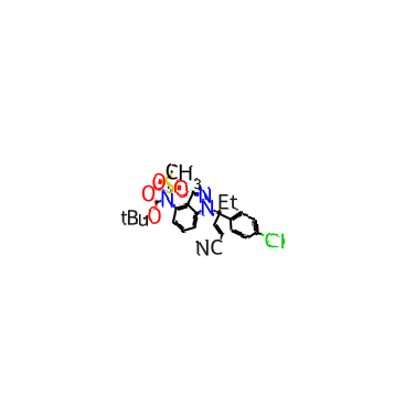 CCC(C=CC#N)(c1ccc(Cl)cc1)n1ncc2c(N(C(=O)OC(C)(C)C)S(C)(=O)=O)cccc21